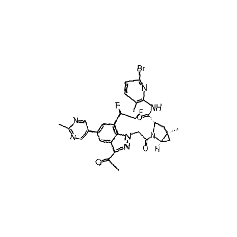 CC(=O)c1nn(CC(=O)N2[C@H](C(=O)Nc3nc(Br)ccc3C)C[C@@]3(C)C[C@@H]23)c2c(C(F)CF)cc(-c3cnc(C)nc3)cc12